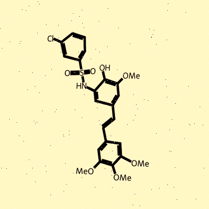 COc1cc(C=Cc2cc(OC)c(OC)c(OC)c2)cc(NS(=O)(=O)c2cccc(Cl)c2)c1O